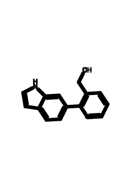 OCc1ccc[c]c1-c1ccc2cc[nH]c2c1